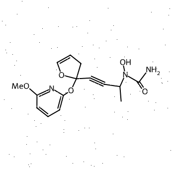 COc1cccc(OC2(C#CC(C)N(O)C(N)=O)CC=CO2)n1